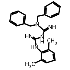 Cc1cccc(C)c1NC(=N)NC(=N)N(Cc1ccccc1)Cc1ccccc1